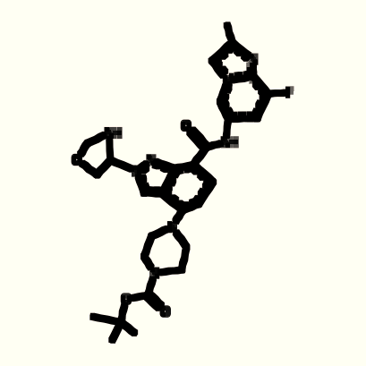 Cc1cn2cc(NC(=O)c3ccc(N4CCN(C(=O)OC(C)(C)C)CC4)c4cn(C5COCN5)nc34)cc(F)c2n1